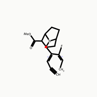 C#C/C=C(CN1C2CCC(C(=O)OC)C1CC2)\C(F)=C/C